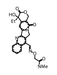 CC[C@@]1(O)C(=O)OCc2c1cc1n(c2=O)Cc2c-1nc1ccccc1c2/C=N/OCC(=O)NC